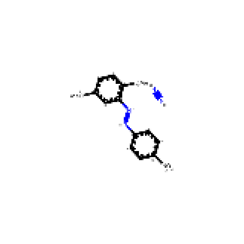 COc1ccc(OC)c(N=Nc2ccc([N+](=O)[O-])cc2)c1.N#N